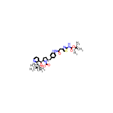 CC(C)(C)OC(=O)Nc1nc(CC(=O)Nc2ccc(C[C@@H]3CC[C@H](C(O[Si](C)(C)C(C)(C)C)c4cccnc4)N3C(=O)O)cc2)cs1